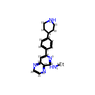 CCNc1nc(-c2ccc(C3CCNCC3)cc2)cc2nccnc12